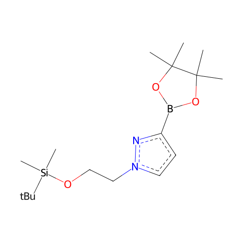 CC1(C)OB(c2ccn(CCO[Si](C)(C)C(C)(C)C)n2)OC1(C)C